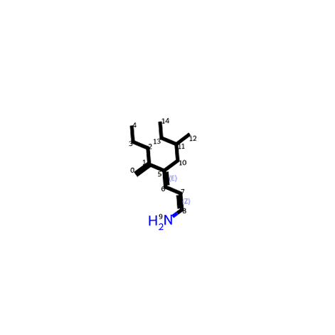 C=C(CCC)/C(=C/C=C\N)CC(C)CC